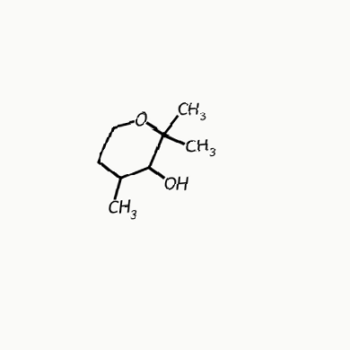 CC1CCOC(C)(C)C1O